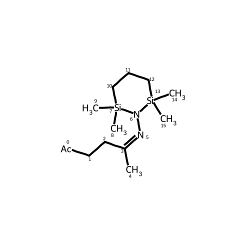 CC(=O)CCC(C)=NN1[Si](C)(C)CCC[Si]1(C)C